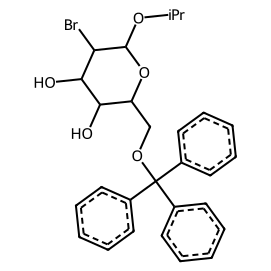 CC(C)OC1OC(COC(c2ccccc2)(c2ccccc2)c2ccccc2)C(O)C(O)C1Br